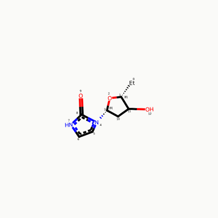 CC[C@H]1O[C@@H](n2cc[nH]c2=O)CC1O